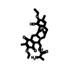 CCOC1=C(C)C(=O)C2=C(C1=O)C(CNC(=O)C(C)N)N1CC3Cc4cc(C)c(OCC)c(O)c4C(C1C2)N3C